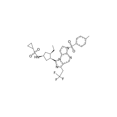 CC[C@@H]1C[C@H](NS(=O)(=O)C2CC2)C[C@@H]1c1nc(CC(F)(F)F)c2cnc3c(ccn3S(=O)(=O)c3ccc(C)cc3)n12